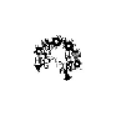 CC(C)[C@@H](NC(=O)C1CC1)C(=O)N1CCC[C@H]1c1ncc(-c2ccc(Oc3ccc(-c4cnc([C@@H]5CCCN5C(=O)[C@H](NC(=O)C5CC5)C(C)C)[nH]4)cc3)cc2)[nH]1